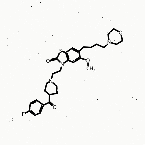 COc1cc2c(cc1CCCCN1CCOCC1)sc(=O)n2CCN1CCC(C(=O)c2ccc(F)cc2)CC1